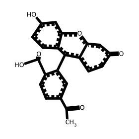 CC(=O)c1ccc(C(=O)O)c(-c2c3ccc(=O)cc-3oc3cc(O)ccc23)c1